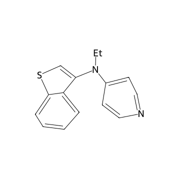 CCN(c1ccncc1)c1csc2ccccc12